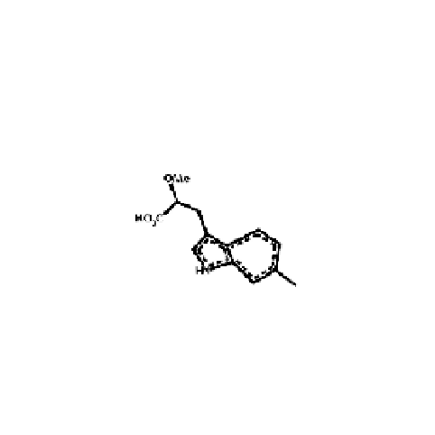 CO[C@@H](Cc1c[nH]c2cc(C)ccc12)C(=O)O